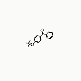 C[Si](C)(C)Oc1ccc(C(=O)c2ccccc2)cc1